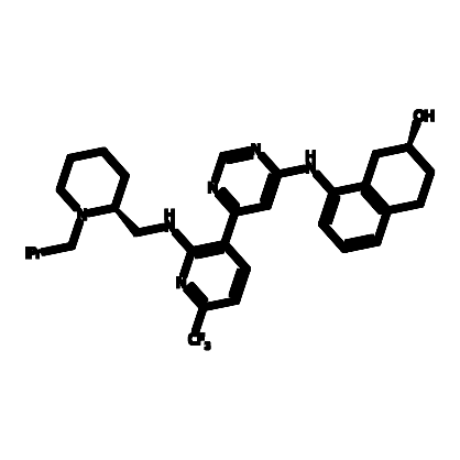 CC(C)CN1CCCC[C@H]1CNc1nc(C(F)(F)F)ccc1-c1cc(Nc2cccc3c2C[C@@H](O)CC3)ncn1